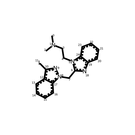 CN(C)CCn1c(Cn2nc(I)c3ccccc32)nc2ccccc21